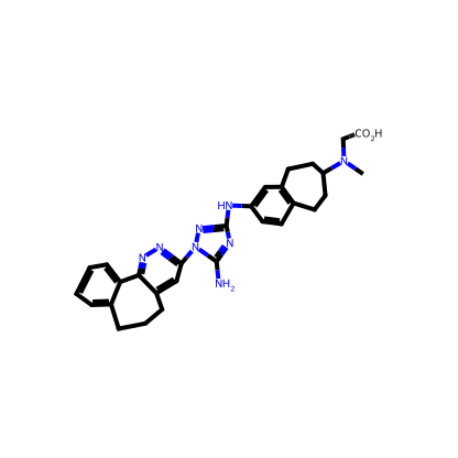 CN(CC(=O)O)C1CCc2ccc(Nc3nc(N)n(-c4cc5c(nn4)-c4ccccc4CCC5)n3)cc2CC1